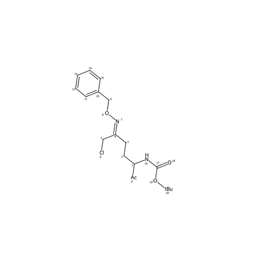 CC(=O)C(CCC(CCl)=NOCc1ccccc1)NC(=O)OC(C)(C)C